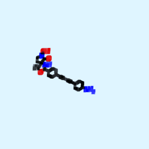 CC(C)C1(NC(=O)c2ccc(C#CC#Cc3ccc(N)cc3)cc2)CCN(O)C1=O